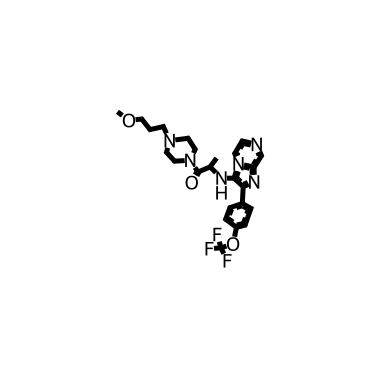 COCCCN1CCN(C(=O)C(C)Nc2c(-c3ccc(OC(F)(F)F)cc3)nc3cnccn23)CC1